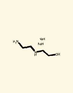 NCCNCCO.[NaH].[NaH]